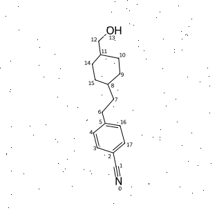 N#Cc1ccc(CCC2CCC(CO)CC2)cc1